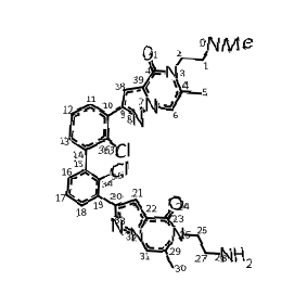 CNCCn1c(C)cn2nc(-c3cccc(-c4cccc(-c5cc6c(=O)n(CCN)c(C)cn6n5)c4Cl)c3Cl)cc2c1=O